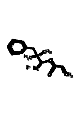 C=CC(=O)OC(CC)[N+](C)(C)Cc1ccccc1.[F-]